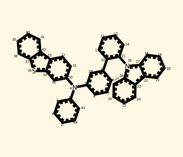 c1ccc(N(c2cccc(-c3ccccc3-n3c4ccccc4c4ccccc43)c2)c2ccc3c(c2)sc2ccccc23)cc1